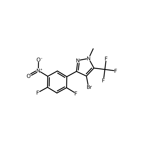 Cn1nc(-c2cc([N+](=O)[O-])c(F)cc2F)c(Br)c1C(F)(F)F